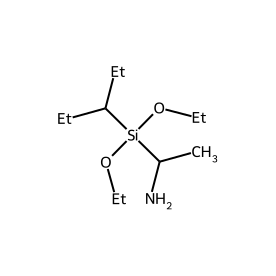 CCO[Si](OCC)(C(C)N)C(CC)CC